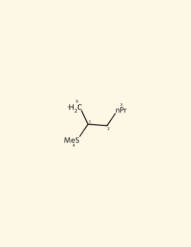 [CH2]C(CCCC)SC